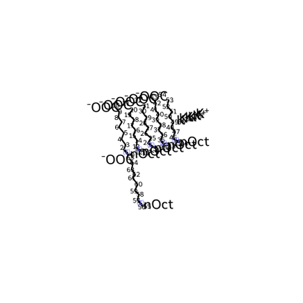 CCCCCCCC/C=C\CCCCCCCC(=O)[O-].CCCCCCCC/C=C\CCCCCCCC(=O)[O-].CCCCCCCC/C=C\CCCCCCCC(=O)[O-].CCCCCCCC/C=C\CCCCCCCC(=O)[O-].CCCCCCCC/C=C\CCCCCCCC(=O)[O-].CCCCCCCC/C=C\CCCCCCCC(=O)[O-].[K+].[K+].[K+].[K+].[K+].[K+]